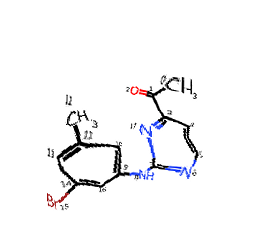 CC(=O)c1ccnc(Nc2cc(C)cc(Br)c2)n1